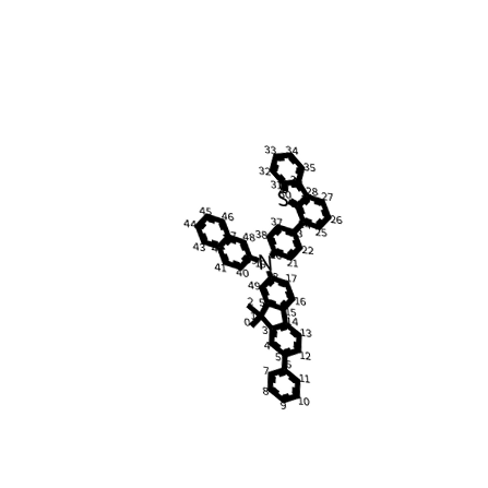 CC1(C)c2cc(-c3ccccc3)ccc2-c2ccc(N(c3ccc(-c4cccc5c4sc4ccccc45)cc3)c3ccc4ccccc4c3)cc21